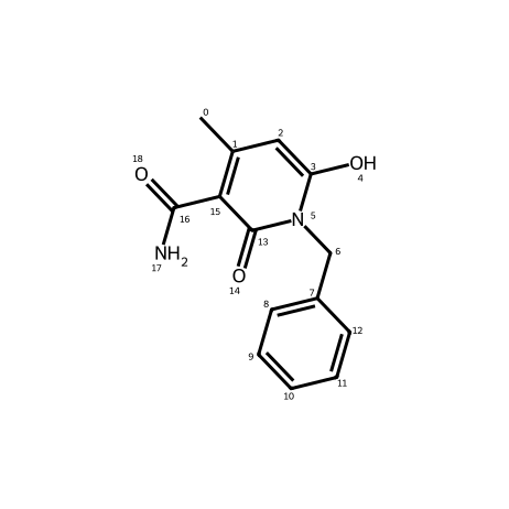 Cc1cc(O)n(Cc2ccccc2)c(=O)c1C(N)=O